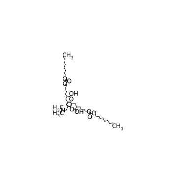 CCCCCCCCCOC(=O)OCCCCC(Cc1cc(CC(CCCCOC(=O)OCCCCCCCCC)C(=O)O)cc(CN(C)C)c1)C(=O)O